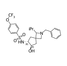 CC(C)C1N(Cc2ccccc2)CC12C[C@@H](O)[C@H](NS(=O)(=O)c1ccc(OC(F)(F)F)cc1)C2